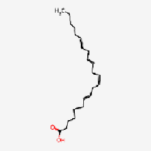 CCCCC/C=C/C/C=C/C/C=C\C/C=C/CCCCCC(=O)O